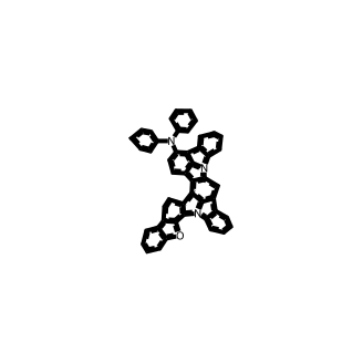 c1ccc(N(c2ccccc2)c2ccc3c4c5c6ccc7c8ccccc8oc7c6n6c7ccccc7c(cc4n4c7ccccc7c2c34)c56)cc1